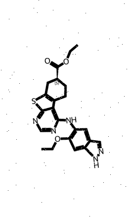 CCOC(=O)[C@H]1CCc2c(sc3ncnc(Nc4cc5cn[nH]c5cc4OCC)c23)C1